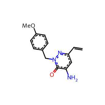 C=Cc1cc(N)c(=O)n(Cc2ccc(OC)cc2)n1